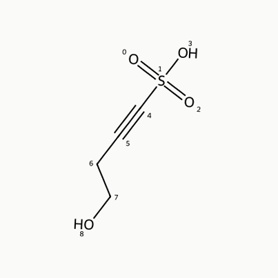 O=S(=O)(O)C#CCCO